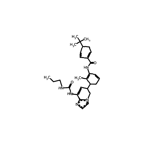 CCCNC(=O)NC1=CC(C2CC=CC(NC(=O)C3=CCC(C(C)(C)C)C=C3)=C2C)Cn2ccnc21